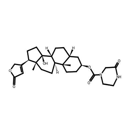 C[C@]12CC[C@H](OC(=O)N3CCNC(=O)C3)C[C@H]1CC[C@@H]1[C@@H]2CC[C@]2(C)[C@@H](C3=CC(=O)OC3)CC[C@]12O